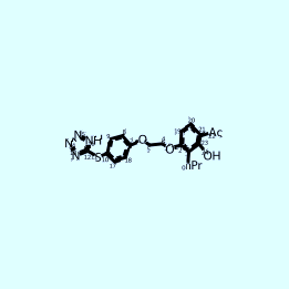 CCCc1c(OCCOc2ccc(Sc3nnn[nH]3)cc2)ccc(C(C)=O)c1O